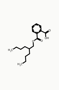 CCCCC(CCCC)COC(=O)c1ccccc1C(=O)O